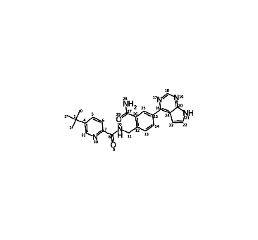 CC(C)(C)c1ccc(C(=O)NCc2ccc(-c3ncnc4[nH]ccc34)cc2C(N)=O)nc1